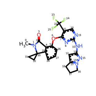 CN1C(=O)c2c(Oc3nc(Nc4cc5n(n4)CCC5)ncc3C(F)(F)F)cccc2C12CC2